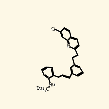 CCOC(=O)Nc1ccccc1CC=Cc1cccc(CCc2ccc3ccc(Cl)cc3n2)c1